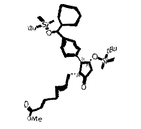 COC(=O)CCCC=CC[C@H]1C(=O)C[C@@H](O[Si](C)(C)C(C)(C)C)[C@@H]1c1ccc(C(O[Si](C)(C)C(C)(C)C)C2CCCCC2)cc1